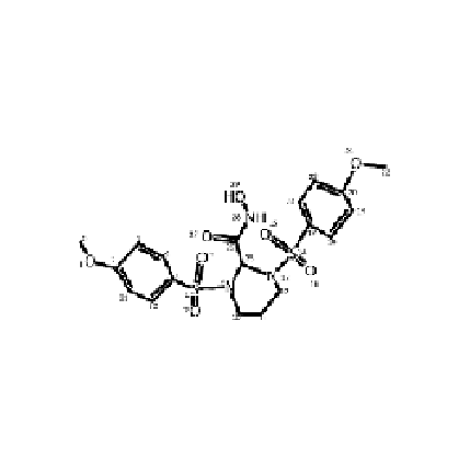 COc1ccc(S(=O)(=O)N2CCCN(S(=O)(=O)c3ccc(OC)cc3)C2C(=O)NO)cc1